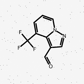 O=Cc1cnn2cccc(C(F)(F)F)c12